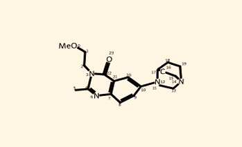 COCCn1c(C)nc2ccc(N3CCN4CCC3CC4)cc2c1=O